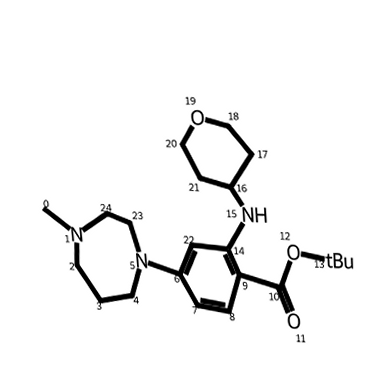 CN1CCCN(c2ccc(C(=O)OC(C)(C)C)c(NC3CCOCC3)c2)CC1